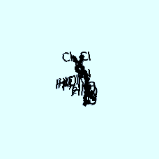 COC(=O)C(CC(C)C)NC(=O)C(N)Cc1nc2cc(N(CCCl)CCCl)ccc2n1C.Cl.Cl